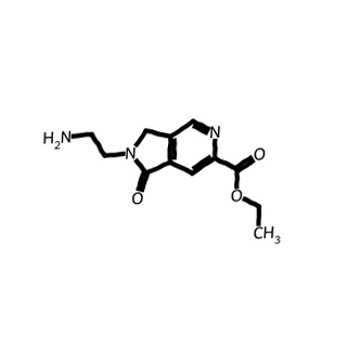 CCOC(=O)c1cc2c(cn1)CN(CCN)C2=O